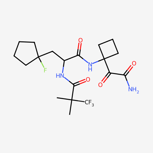 CC(C)(C(=O)NC(CC1(F)CCCC1)C(=O)NC1(C(=O)C(N)=O)CCC1)C(F)(F)F